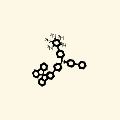 [2H]c1c([2H])c([2H])c(-c2ccc(N(c3ccc(-c4ccccc4)cc3)c3ccc(-c4ccc5c(c4)C4(c6ccccc6-c6ccccc64)c4ccccc4-5)cc3)cc2)c([2H])c1[2H]